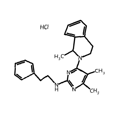 Cc1nc(NCCc2ccccc2)nc(N2CCc3ccccc3C2C)c1C.Cl